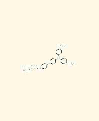 COc1ccc(N(c2ccc(OC)cc2)c2ccc(-c3cc[n+](CCC[N+](C)(C)C)cc3)cc2)cc1